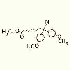 CCOC(=O)CCCCCC(C#N)(c1ccc(OC)cc1)c1ccc(OC)cc1